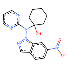 O=[N+]([O-])c1ccc2cnn(N(c3ncccn3)C3(O)CCCCC3)c2c1